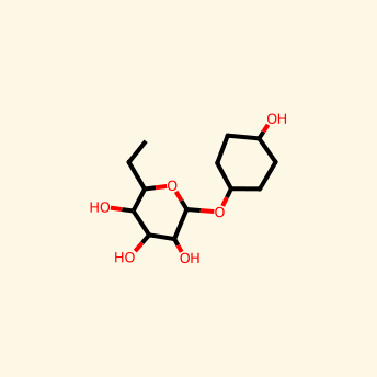 CCC1OC(OC2CCC(O)CC2)C(O)C(O)C1O